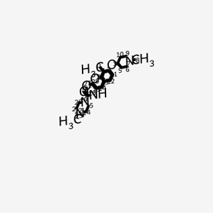 Cc1c(OC2CCN(C)CC2)ccc2cc(NC(=O)N3CCN(C)CC3)c(=O)oc12